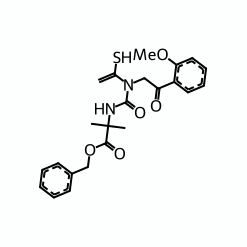 C=C(S)N(CC(=O)c1ccccc1OC)C(=O)NC(C)(C)C(=O)OCc1ccccc1